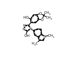 Cc1cn(C)c2ccc(-n3c(O)nnc3-c3cc4c(cc3O)OC(C)(C)O4)cc12